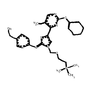 Cc1cnc(OC2CCCCC2)nc1-c1cn(COCC[Si](C)(C)C)/c(=N/c2ccc(CO)cn2)s1